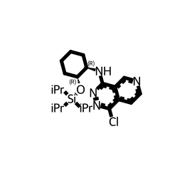 CC(C)[Si](O[C@@H]1CCCC[C@H]1Nc1nnc(Cl)c2ccncc12)(C(C)C)C(C)C